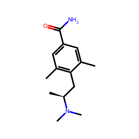 Cc1cc(C(N)=O)cc(C)c1C[C@H](C)N(C)C